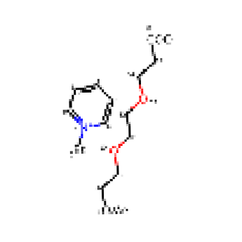 CC[n+]1ccccc1.COCCOCCOCCC(=O)[O-]